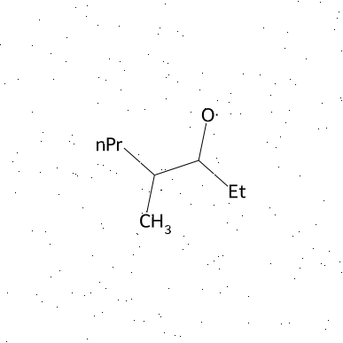 CCCC(C)C([O])CC